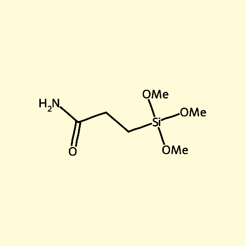 CO[Si](CCC(N)=O)(OC)OC